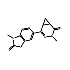 CN1N=C(c2ccc3c(c2)CC(=O)N3C)C2CC2C1=O